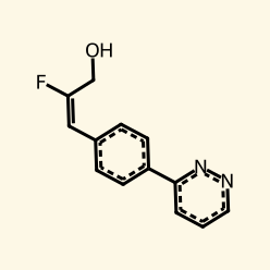 OC/C(F)=C\c1ccc(-c2cccnn2)cc1